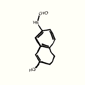 O=CNc1ccc2c(c1)C=C(O)CC2